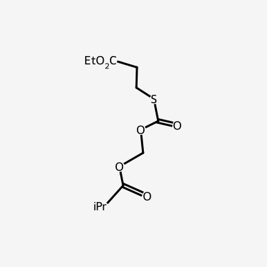 CCOC(=O)CCSC(=O)OCOC(=O)C(C)C